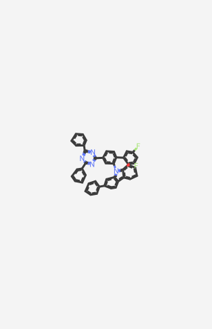 Fc1cc(F)cc(-c2ccc(-c3nc(-c4ccccc4)nc(-c4ccccc4)n3)cc2-n2c3ccccc3c3ccc(-c4ccccc4)cc32)c1